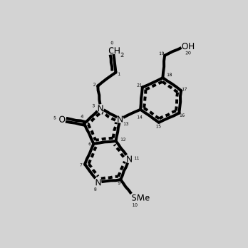 C=CCn1c(=O)c2cnc(SC)nc2n1-c1cccc(CO)c1